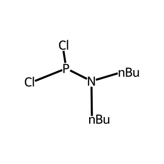 CCCCN(CCCC)P(Cl)Cl